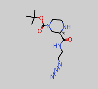 CC(C)(C)OC(=O)N1CCN[C@@H](C(=O)NCCN=[N+]=[N-])C1